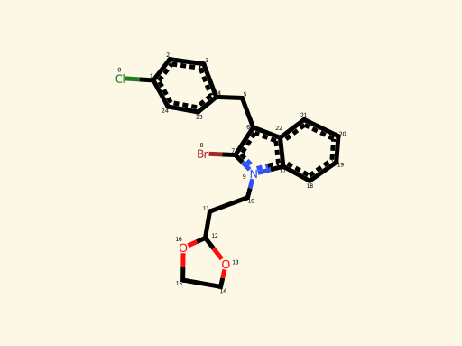 Clc1ccc(Cc2c(Br)n(CCC3OCCO3)c3ccccc23)cc1